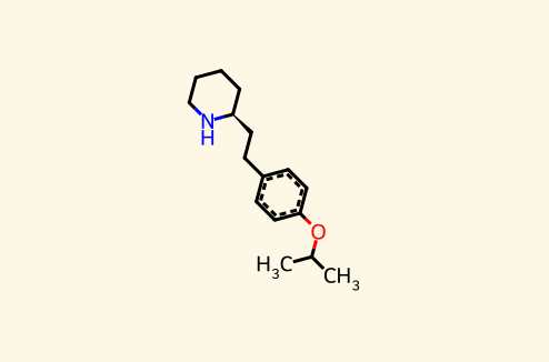 CC(C)Oc1ccc(CC[C@@H]2CCCCN2)cc1